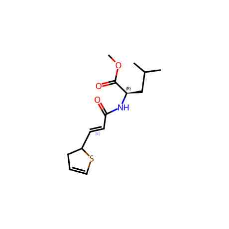 COC(=O)[C@@H](CC(C)C)NC(=O)/C=C/C1CC=CS1